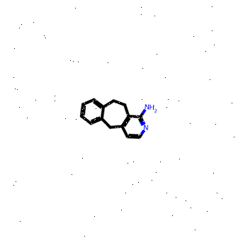 Nc1nccc2c1CCc1ccccc1C2